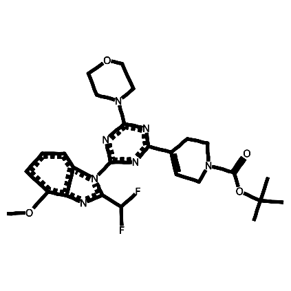 COc1cccc2c1nc(C(F)F)n2-c1nc(C2=CCN(C(=O)OC(C)(C)C)CC2)nc(N2CCOCC2)n1